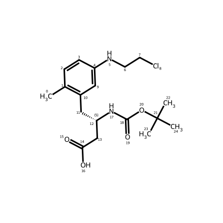 Cc1ccc(NCCCl)cc1C[C@@H](CC(=O)O)NC(=O)OC(C)(C)C